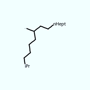 [CH2]C(CCCCCCCCC)CCCCC(C)C